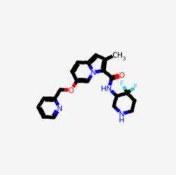 Cc1cc2ccc(OCc3ccccn3)cn2c1C(=O)NC1CNCCC1(F)F